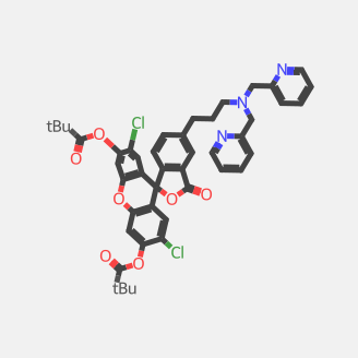 CC(C)(C)C(=O)Oc1cc2c(cc1Cl)C1(OC(=O)c3cc(CCCN(Cc4ccccn4)Cc4ccccn4)ccc31)c1cc(Cl)c(OC(=O)C(C)(C)C)cc1O2